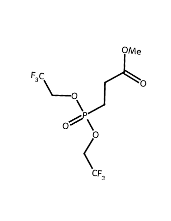 COC(=O)CCP(=O)(OCC(F)(F)F)OCC(F)(F)F